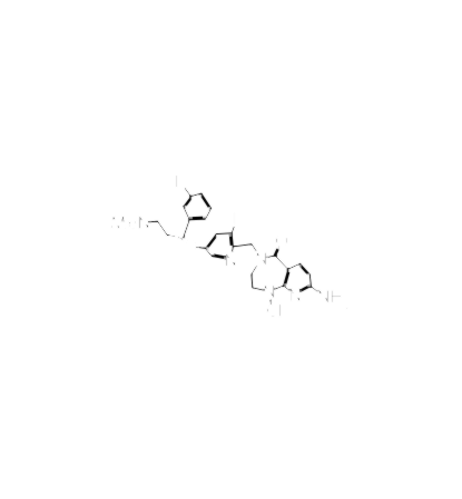 CNCC[C@H](Oc1cnc(CN2CCN(C)c3nc(N)ccc3C2=O)c(F)c1)c1cccc(F)c1